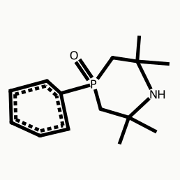 CC1(C)CP(=O)(c2ccccc2)CC(C)(C)N1